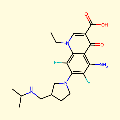 CCn1cc(C(=O)O)c(=O)c2c(N)c(F)c(N3CCC(CNC(C)C)C3)c(F)c21